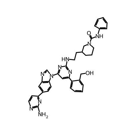 Nc1nccc(-c2ccc3c(c2)ncn3-c2cc(-c3ccccc3CO)nc(NCCC3CCCN(C(=O)Nc4ccccc4)C3)n2)n1